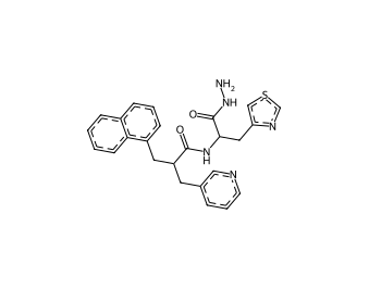 NNC(=O)C(Cc1cscn1)NC(=O)C(Cc1cccnc1)Cc1cccc2ccccc12